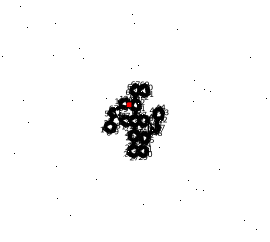 c1ccc(-c2ccc(-c3ccccc3)n2-c2ccc3c(-c4ccc(-c5cccc6ccccc56)cc4)c4cc(-n5c(-c6ccccc6)ccc5-c5ccccc5)ccc4c(-c4ccc(-c5cccc6ccccc56)cc4)c3c2)cc1